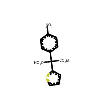 CCOC(=O)C(C(=O)O)(c1ccc([N+](=O)[O-])cc1)c1cccs1